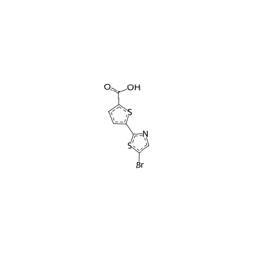 O=C(O)c1ccc(-c2ncc(Br)s2)s1